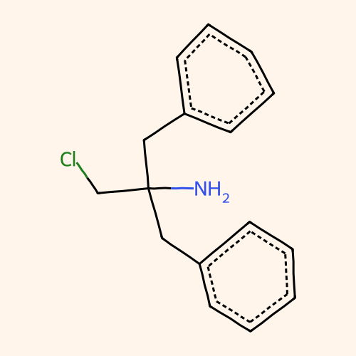 NC(CCl)(Cc1ccccc1)Cc1ccccc1